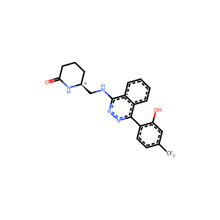 O=C1CCC[C@@H](CNc2nnc(-c3ccc(C(F)(F)F)cc3O)c3ccccc23)N1